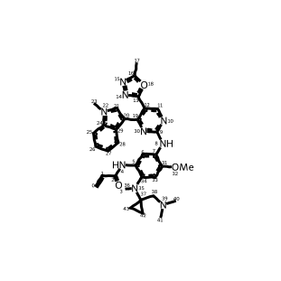 C=CC(=O)Nc1cc(Nc2ncc(-c3nnc(C)o3)c(-c3cn(C)c4ccccc34)n2)c(OC)cc1N(C)C1(CN(C)C)CC1